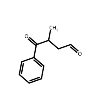 CC(CC=O)C(=O)c1ccccc1